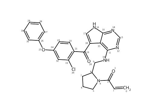 C=CC(=O)N1CCCC1CNc1ncnc2[nH]cc(C(=O)c3ccc(Oc4ccccc4)cc3Cl)c12